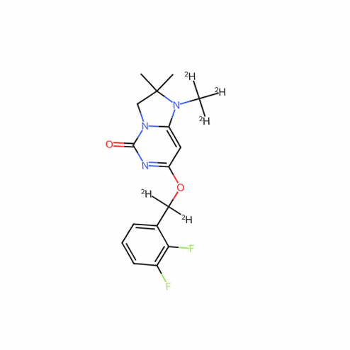 [2H]C([2H])(Oc1cc2n(c(=O)n1)CC(C)(C)N2C([2H])([2H])[2H])c1cccc(F)c1F